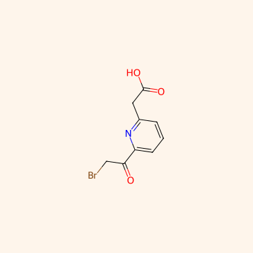 O=C(O)Cc1cccc(C(=O)CBr)n1